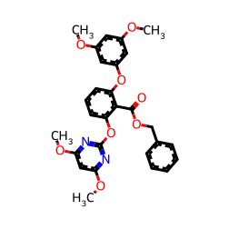 COc1cc(OC)cc(Oc2cccc(Oc3nc(OC)cc(OC)n3)c2C(=O)OCc2ccccc2)c1